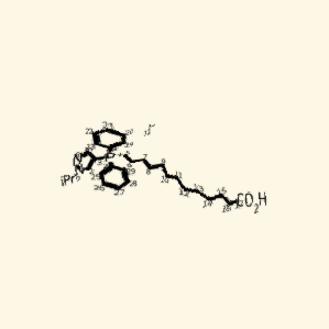 CC(C)n1cc([P+](CCCCCCCCCCCCC(=O)O)(c2ccccc2)c2ccccc2)cn1.[I-]